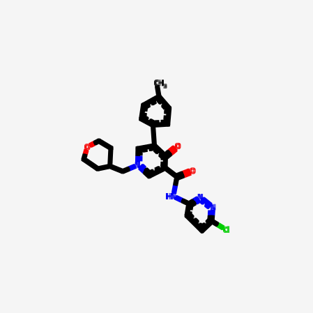 Cc1ccc(-c2cn(CC3CCOCC3)cc(C(=O)Nc3ccc(Cl)nn3)c2=O)cc1